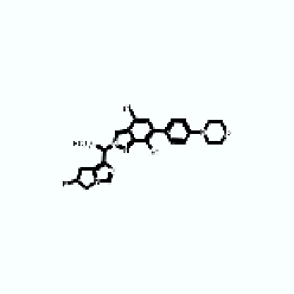 CCOC(=O)C(c1ncn2c1CC(F)C2)n1cc2c(Cl)cc(-c3ccc(N4CCOCC4)cc3)c(CC)c2n1